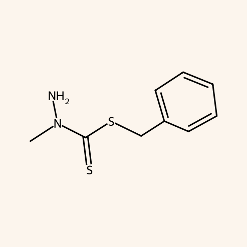 CN(N)C(=S)SCc1ccccc1